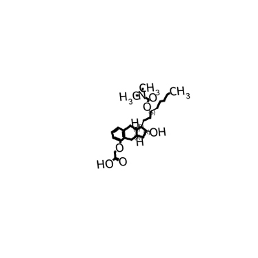 CCCCC[C@@H](CC[C@@H]1[C@H]2Cc3cccc(OCC(=O)O)c3C[C@H]2C[C@H]1O)OC(=O)N(C)C